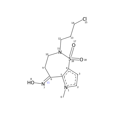 Cn1ccc2c1/C(=N/O)CCN(CCCCl)S2(=O)=O